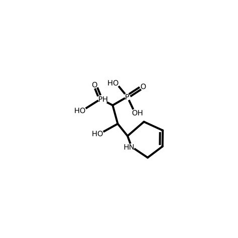 O=[PH](O)C(C(O)C1CC=CCN1)P(=O)(O)O